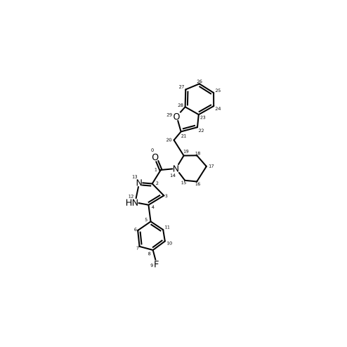 O=C(c1cc(-c2ccc(F)cc2)[nH]n1)N1CCCCC1Cc1cc2ccccc2o1